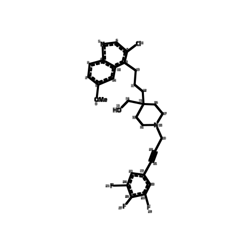 COc1ccc2ncc(Cl)c(CCCC3(CO)CCN(CC#Cc4cc(F)c(F)c(F)c4)CC3)c2c1